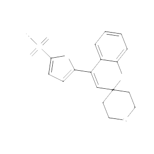 NS(=O)(=O)c1ccc(C2=CC3(CCNCC3)Oc3ccccc32)s1